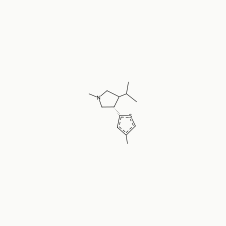 Cc1csc([C@@H]2CN(C)CC2C(C)C)c1